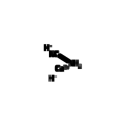 N#CN.[Ca+2].[H-].[H-]